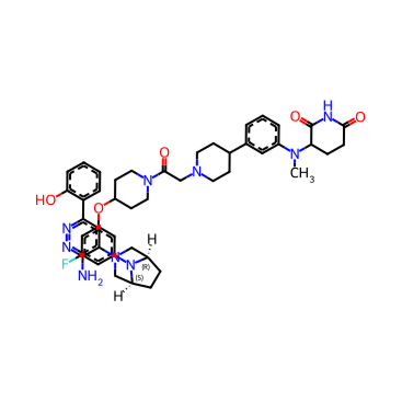 CN(c1cccc(C2CCN(CC(=O)N3CCC(Oc4cc(F)cc(N5[C@@H]6CC[C@H]5CN(c5cc(-c7ccccc7O)nnc5N)C6)c4)CC3)CC2)c1)C1CCC(=O)NC1=O